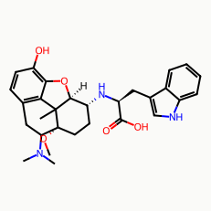 CO[C@@]12CC[C@@H](N[C@@H](Cc3c[nH]c4ccccc34)C(=O)O)[C@@H]3Oc4c(O)ccc(c4C31C)CC2N(C)C